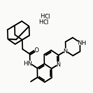 Cc1ccc2nc(N3CCNCC3)ccc2c1NC(=O)CC12CC3CC(CC(C3)C1)C2.Cl.Cl